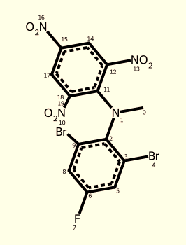 CN(c1c(Br)cc(F)cc1Br)c1c([N+](=O)[O-])cc([N+](=O)[O-])cc1[N+](=O)[O-]